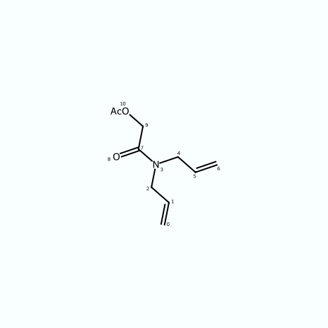 C=CCN(CC=C)C(=O)COC(C)=O